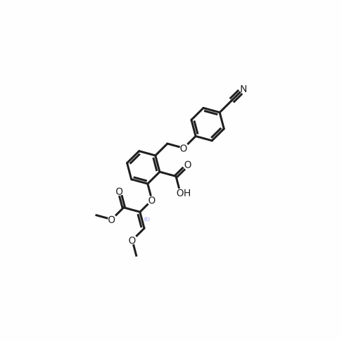 CO/C=C(/Oc1cccc(COc2ccc(C#N)cc2)c1C(=O)O)C(=O)OC